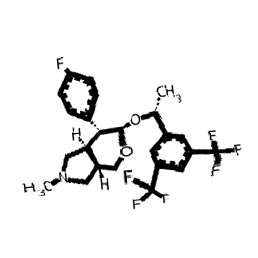 C[C@@H](O[C@H]1OC[C@@H]2CN(C)C[C@H]2[C@@H]1c1ccc(F)cc1)c1cc(C(F)(F)F)cc(C(F)(F)F)c1